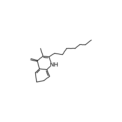 C=C1C2=CCCC=C2NC(CCCCCCC)=C1C